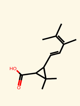 CC(C)=C(C)C=CC1C(C(=O)O)C1(C)C